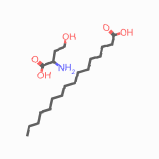 CCCCCCCCCCCCCCCC(=O)O.NC(CCO)C(=O)O